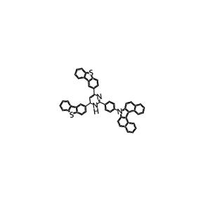 C1=C(c2ccc3sc4ccccc4c3c2)N=C(c2ccc(-n3c4ccc5ccccc5c4c4c5ccccc5ccc43)cc2)NC1c1ccc2sc3ccccc3c2c1